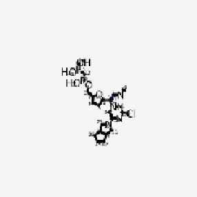 C=N/C=C(/C1CCC(COP(O)CP(O)O)O1)N1CC(N2CC3CCCC3C2)=NC(Cl)=N1